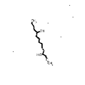 [CH2]CCC(O)CCCCCCC(O)CCCC